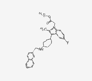 COC(=O)Cn1c(C)c(C2CCC(NCc3ccc4ccccc4n3)CC2)c2cc(F)ccc21